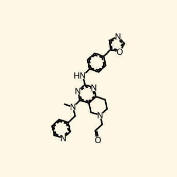 CN(Cc1cccnc1)c1nc(Nc2ccc(-c3cnco3)cc2)nc2c1CN(CC=O)CC2